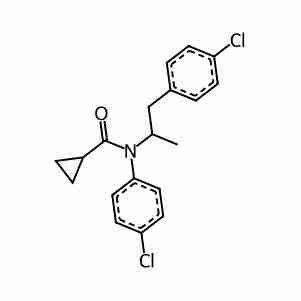 CC(Cc1ccc(Cl)cc1)N(C(=O)C1CC1)c1ccc(Cl)cc1